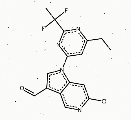 CCc1cc(-n2cc(C=O)c3cnc(Cl)cc32)nc(C(C)(F)F)n1